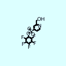 O=S(=O)(Oc1c(F)c(F)c(F)c(F)c1F)c1ccnc(CO)c1